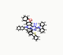 c1ccc2cc3c(cc2c1)c1ccccc1n3-c1cc2c(cc1C1N=C(c3cccc4c3sc3ccccc34)N=C(n3c4ccccc4c4ccccc43)N1)oc1ccccc12